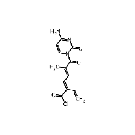 C=C/C(=C\C=C(/C)C(=O)n1ccc(N)nc1=O)C(=O)Cl